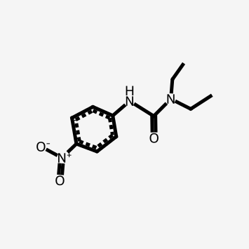 CCN(CC)C(=O)Nc1ccc([N+](=O)[O-])cc1